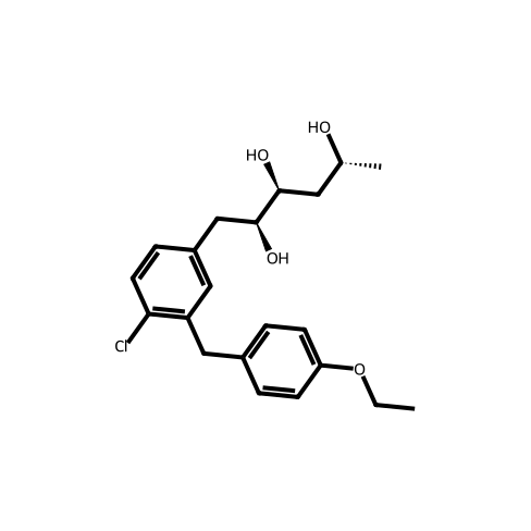 CCOc1ccc(Cc2cc(C[C@H](O)[C@@H](O)C[C@@H](C)O)ccc2Cl)cc1